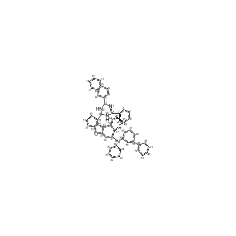 c1ccc(C2=NC(c3ccc4ccccc4c3)NC(c3cccc4oc5cc(N(c6ccccc6)c6cccc(-c7ccccc7)c6)c6ccccc6c5c34)N2)cc1